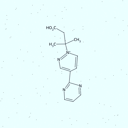 CC(C)(CC(=O)O)[n+]1ccc(-c2ncccn2)cn1